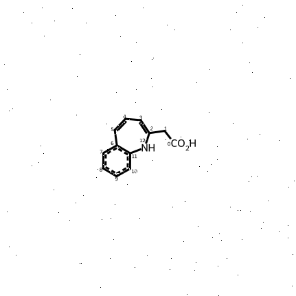 O=C(O)CC1=CC=Cc2ccccc2N1